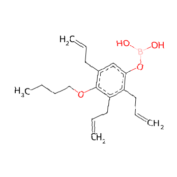 C=CCc1cc(OB(O)O)c(CC=C)c(CC=C)c1OCCCC